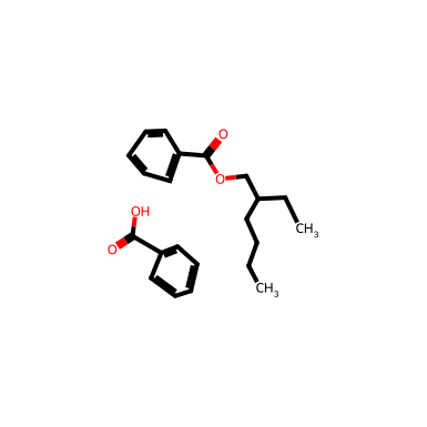 CCCCC(CC)COC(=O)c1ccccc1.O=C(O)c1ccccc1